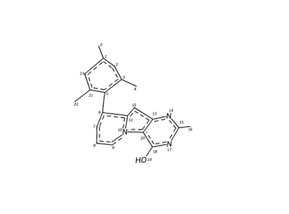 Cc1cc(C)c(-c2cccn3c2cc2nc(C)nc(O)c23)c(C)c1